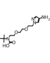 CC(C)(C)N(CCOCCOCCn1cc(N)cn1)C(=O)O